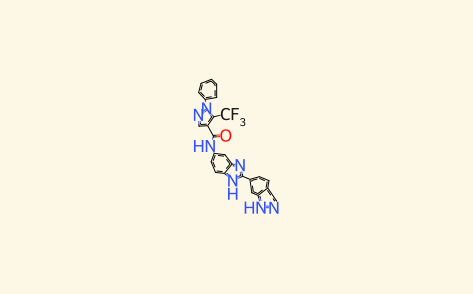 O=C(Nc1ccc2[nH]c(-c3ccc4cn[nH]c4c3)nc2c1)c1cnn(-c2ccccc2)c1C(F)(F)F